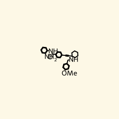 COc1ccc(CNC2(C#Cc3ccc(C(=O)Nc4ccccc4N)cc3)CCCCC2)cc1